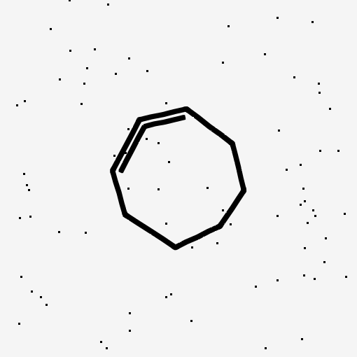 C1=CCCCCCC=1